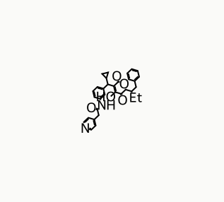 CCC(Cc1ccccc1)C1OC(=O)C(C(c2cccc(NC(=O)Cc3ccncc3)c2)C2CC2)=C(O)C1=O